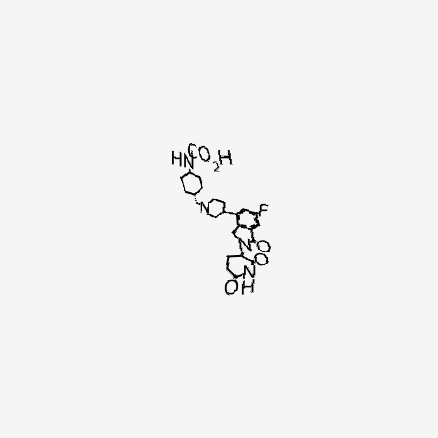 O=C1CCC(N2Cc3c(cc(F)cc3C3CCN(C[C@H]4CC[C@H](NC(=O)O)CC4)CC3)C2=O)C(=O)N1